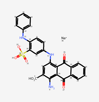 Nc1c(C(=O)O)cc(Nc2ccc(Nc3ccccc3)c(S(=O)(=O)[O-])c2)c2c1C(=O)c1ccccc1C2=O.[Na+]